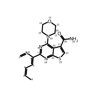 C=N/C(=C\C=C/C)c1nc(N2CCOCC2)c2c(C(N)=O)csc2n1